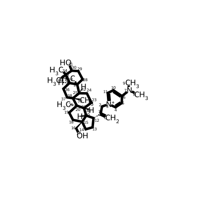 C=C(C[n+]1ccc(N(C)C)cc1)[C@@H]1CC[C@]2(CO)CC[C@]3(C)[C@H](CC[C@@H]4[C@@]5(C)CCC(O)C(C)(C)[C@@H]5CC[C@]43C)[C@@H]12